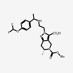 CCOC(=O)c1c2c(nn1CCNC(C)c1ccc(OC(F)F)cc1)C[C@@H](C)N(C(=O)OC(C)(C)C)C2